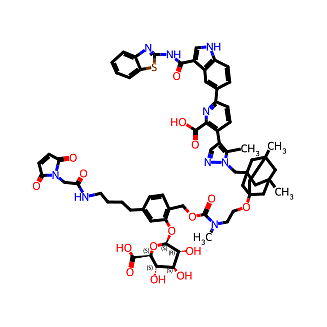 Cc1c(-c2ccc(-c3ccc4[nH]cc(C(=O)Nc5nc6ccccc6s5)c4c3)nc2C(=O)O)cnn1CC12CC3(C)CC(C)(C1)CC(OCCN(C)C(=O)OCc1ccc(CCCCNC(=O)CN4C(=O)C=CC4=O)cc1O[C@@H]1O[C@H](C(=O)O)[C@@H](O)[C@H](O)[C@H]1O)(C3)C2